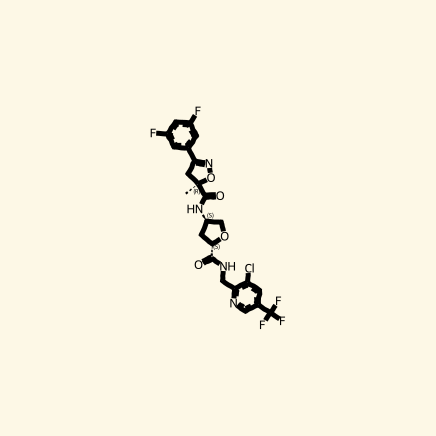 C[C@]1(C(=O)N[C@@H]2CO[C@H](C(=O)NCc3ncc(C(F)(F)F)cc3Cl)C2)CC(c2cc(F)cc(F)c2)=NO1